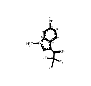 Cn1cc(C(=O)C(F)(F)F)c2ccc(Br)cc21